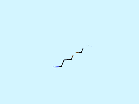 CSCSCCCN